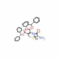 NC1C(=O)N2C(C(=O)OC(c3ccccc3)c3ccccc3)=C(C(=O)OC(c3ccccc3)c3ccccc3)CS[C@@H]12